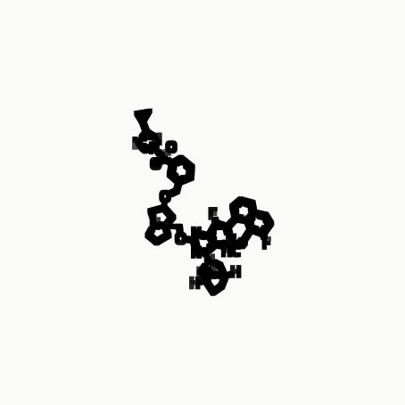 C#Cc1c(F)ccc2cccc(-c3ncc4c(N5C[C@H]6CC[C@@H](C5)N6)nc(OC[C@@]56CCCN5C[C@@H](OCc5cccc(S(=O)(=O)n7cnc(C8CC8)n7)c5)C6)nc4c3F)c12